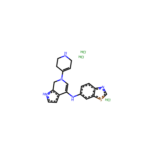 C1=C(Nc2ccc3ncsc3c2)c2cc[nH]c2CN1C1=CCNCC1.Cl.Cl.Cl